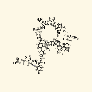 CCC(C)CCCCC(=O)N[C@@H](CCN)C(=O)N[C@H](C(=O)N[C@@H](CCN)C(=O)N[C@H]1CCNC(=O)[C@H]([C@@H](C)O)NC(=O)[C@H](CCN)NC(=O)[C@H](CCN)NC(=O)[C@H](CC(C)C)NC(=O)[C@@H](Cc2ccc(-c3ccc(COC(=O)N4C(=O)/C(=C\c5[nH]c(C)c(C(=O)NCCN(CC)CC)c5C)c5cc(F)ccc54)cc3)cc2)NC(=O)C(CCN)NC1=O)[C@@H](C)O